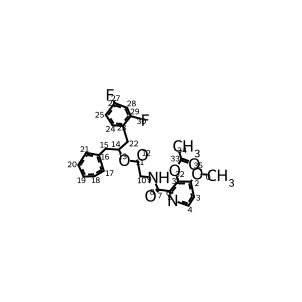 COc1ccnc(C(=O)NCC(=O)OC(Cc2ccccc2)Cc2ccc(F)cc2F)c1OC(C)=O